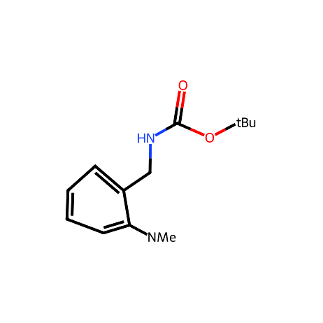 CNc1ccccc1CNC(=O)OC(C)(C)C